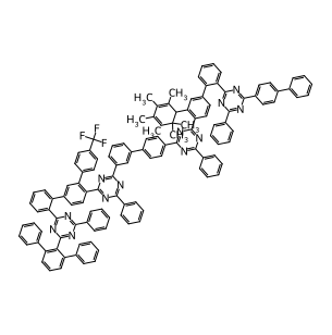 CC1=C(C)C(c2cc(-c3ccccc3-c3nc(-c4ccccc4)nc(-c4ccc(-c5ccccc5)cc4)n3)ccc2-c2nc(-c3ccccc3)nc(-c3ccc(-c4cccc(-c5nc(-c6ccccc6)nc(-c6ccc(-c7ccccc7-c7nc(-c8ccccc8)nc(-c8c(-c9ccccc9)cccc8-c8ccccc8)n7)cc6-c6ccc(C(F)(F)F)cc6)n5)c4)cc3)n2)C(C)(C)C(C)=C1C